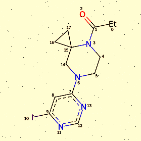 CCC(=O)N1CCN(c2cc(I)ncn2)CC12CC2